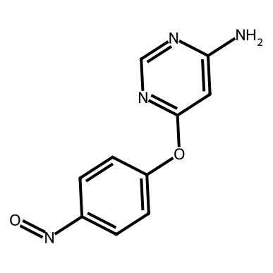 Nc1cc(Oc2ccc(N=O)cc2)ncn1